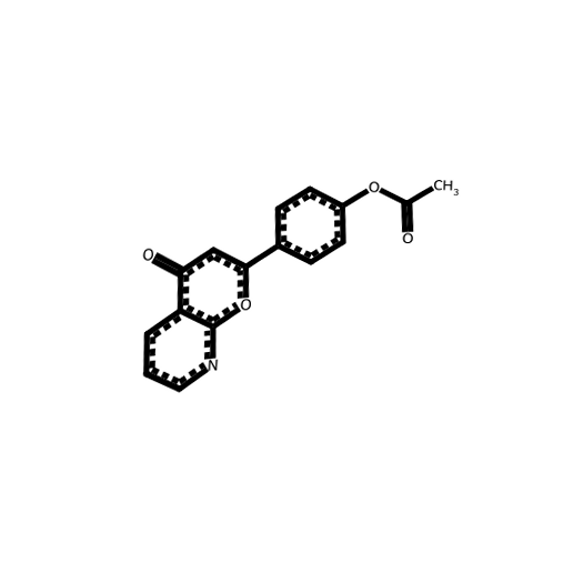 CC(=O)Oc1ccc(-c2cc(=O)c3cccnc3o2)cc1